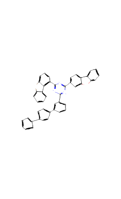 c1ccc(-c2ccc(-c3cccc(-c4nc(-c5ccc6c(c5)oc5ccccc56)nc(-c5cccc6sc7ccccc7c56)n4)c3)cc2)cc1